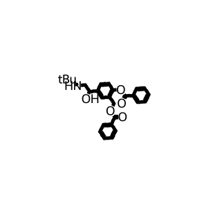 CC(C)(C)NCC(O)c1ccc(OC(=O)c2ccccc2)c(COC(=O)c2ccccc2)c1